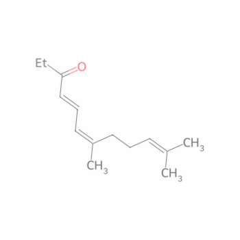 CCC(=O)C=CC=C(C)CCC=C(C)C